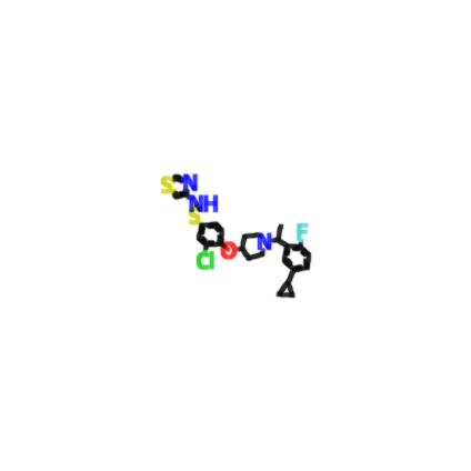 CC(c1cc(C2CC2)ccc1F)N1CCC(Oc2ccc(SNc3cscn3)cc2Cl)CC1